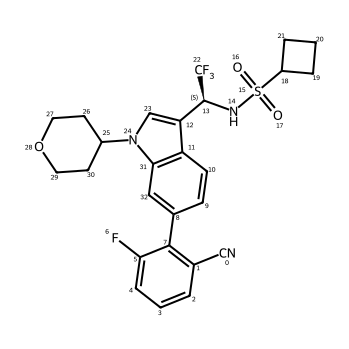 N#Cc1cccc(F)c1-c1ccc2c([C@H](NS(=O)(=O)C3CCC3)C(F)(F)F)cn(C3CCOCC3)c2c1